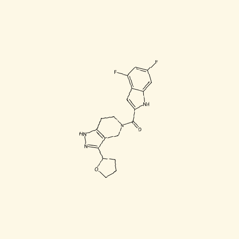 O=C(c1cc2c(F)cc(F)cc2[nH]1)N1CCc2[nH]nc(C3CCCO3)c2C1